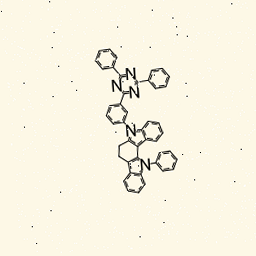 c1ccc(-c2nc(-c3ccccc3)nc(-c3cccc(-n4c5c(c6ccccc64)-c4c(c6ccccc6n4-c4ccccc4)CC5)c3)n2)cc1